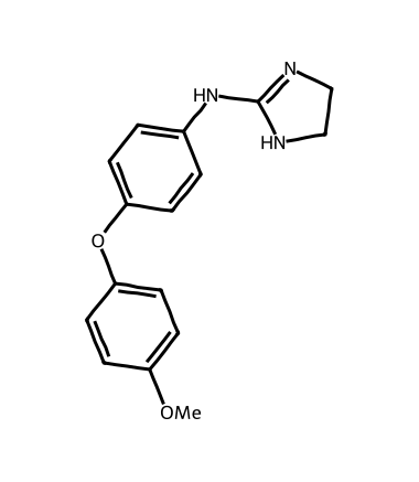 COc1ccc(Oc2ccc(NC3=NCCN3)cc2)cc1